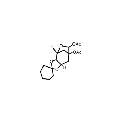 CC(=O)OC1O[C@@H]2C[C@@]1(OC(C)=O)C[C@H]1OC3(CCCCC3)OC21